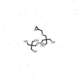 OCC(CO)(CO)CO.OCC(CO)(CO)COCC1CO1